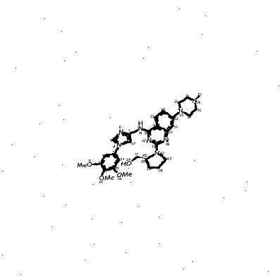 COc1cc(-n2cnc(Nc3nc(N4CCC[C@H]4CO)nc4cc(N5CCN(C)CC5)ccc34)c2)cc(OC)c1OC